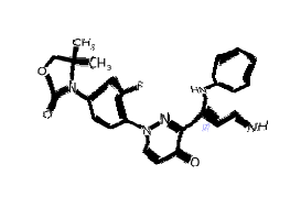 CC1(C)COC(=O)N1c1ccc(-n2ccc(=O)c(/C(=C/C=N)Nc3ccccc3)n2)c(F)c1